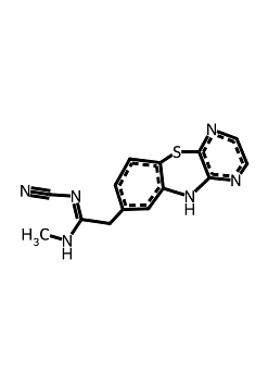 CNC(Cc1ccc2c(c1)Nc1nccnc1S2)=NC#N